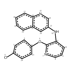 Clc1ccc(Oc2ncccc2Nc2cnc3ccccc3c2)cc1